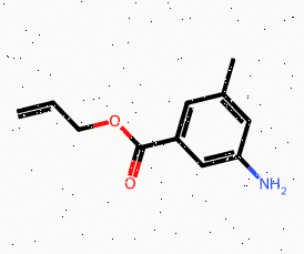 C=CCOC(=O)c1cc(C)cc(N)c1